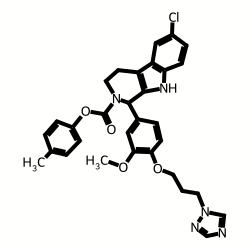 COc1cc(C2c3[nH]c4ccc(Cl)cc4c3CCN2C(=O)Oc2ccc(C)cc2)ccc1OCCCn1cncn1